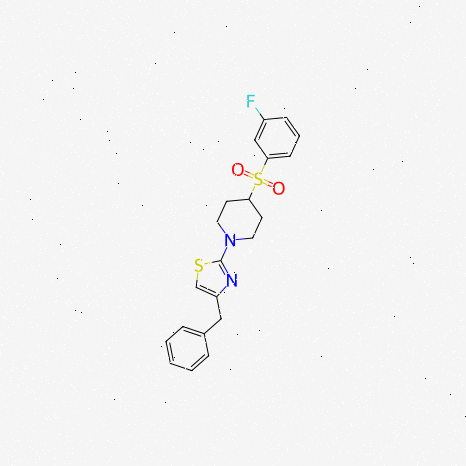 O=S(=O)(c1cccc(F)c1)C1CCN(c2nc(Cc3ccccc3)cs2)CC1